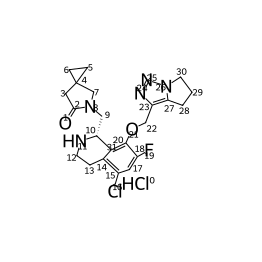 Cl.O=C1CC2(CC2)CN1C[C@H]1NCCc2c(Cl)cc(F)c(OCc3nnn4c3CCC4)c21